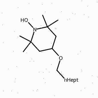 CCCCCCCCOC1CC(C)(C)N(O)C(C)(C)C1